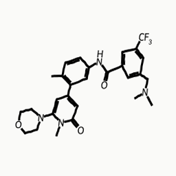 Cc1ccc(NC(=O)c2cc(CN(C)C)cc(C(F)(F)F)c2)cc1-c1cc(N2CCOCC2)n(C)c(=O)c1